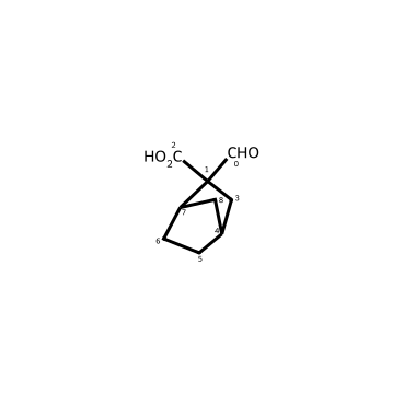 O=CC1(C(=O)O)CC2CCC1C2